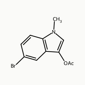 CC(=O)Oc1cn(C)c2ccc(Br)cc12